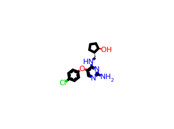 Nc1ncc(Oc2ccc(Cl)cc2)c(NC[C@@H]2CCC[C@H]2O)n1